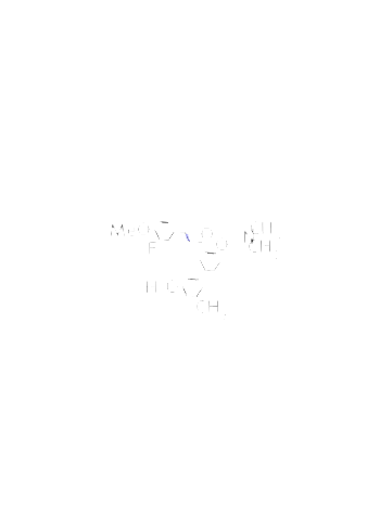 COc1ccc(/C=C/C(=O)c2cc(-c3cc(C)cc(C)c3)ccc2OCCN(C)C)cc1F